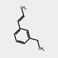 C[CH]c1cccc(C=CC)c1